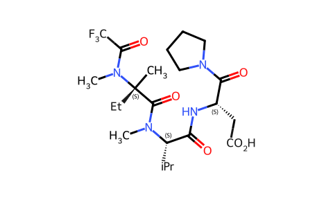 CC[C@@](C)(C(=O)N(C)[C@H](C(=O)N[C@@H](CC(=O)O)C(=O)N1CCCC1)C(C)C)N(C)C(=O)C(F)(F)F